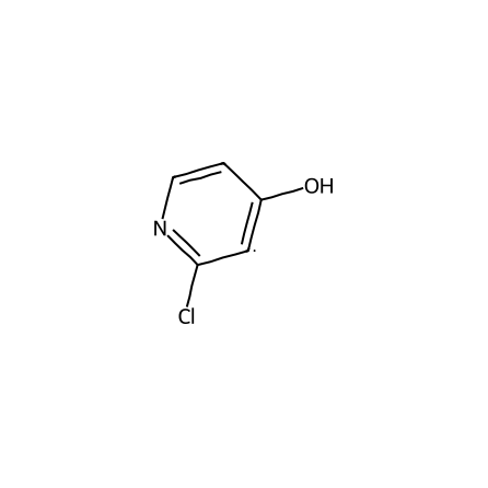 Oc1[c]c(Cl)ncc1